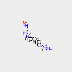 C[C@]12CCc3nc(NCCCN4CCOCC4)sc3C1=CC[C@@H]1[C@@H]2CC[C@]2(C)/C(=N/NC(N)=S)CC[C@@H]12